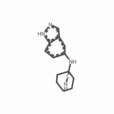 c1cc2[nH]ncc2cc1NC12CCC(CC1)NC2